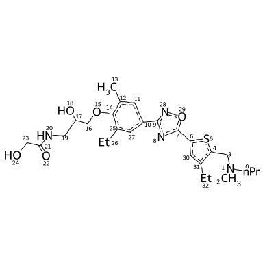 CCCN(C)Cc1sc(-c2nc(-c3cc(C)c(OCC(O)CNC(=O)CO)c(CC)c3)no2)cc1CC